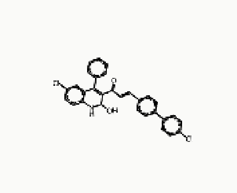 O=C(/C=C/c1ccc(-c2ccc(Cl)cc2)cc1)C1=C(c2ccccc2)c2cc(Cl)ccc2NC1O